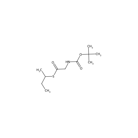 CCC(C)SC(=O)CNC(=O)OC(C)(C)C